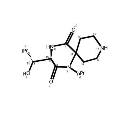 CCCN1C(=O)[C@@H]([C@H](O)C(C)C)NC(=O)C12CCNCC2